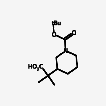 CC(C)(C)OC(=O)N1CCCC(C(C)(C)C(=O)O)C1